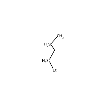 CC[SiH2]C[SiH2]C